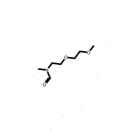 COCCOCCN(C)[C]=O